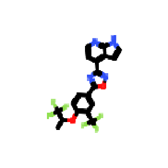 CC(Oc1ccc(-c2nc(-c3ccnc4[nH]ccc34)no2)cc1C(F)(F)F)C(F)(F)F